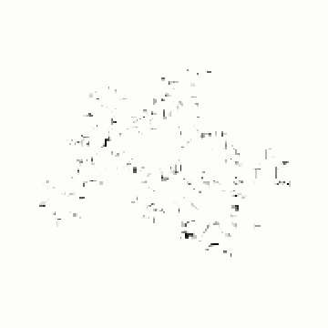 CNC(C(=O)NC1C(=O)NC(c2ccc(O)c(Cl)c2)C(=O)NC2C(=O)NC3C(=O)NC(C(=O)NC(C(=O)O)c4cc(O)cc(O)c4-c4cc3ccc4O)C(OC3CC(N)C(O)C(C)O3)c3ccc(c(Cl)c3)Oc3cc2cc(c3OC2OC(CO)C(O)C(O)C2O)Oc2ccc(cc2Cl)C1OC1OC(CO)C(O)C(O)C1O)c1ccc(OC2OC(C)C(O)C(O)C2O)cc1